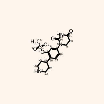 CS(=O)(=O)Oc1cc(N2CCC(=O)NC2=O)ccc1C1CCNCC1